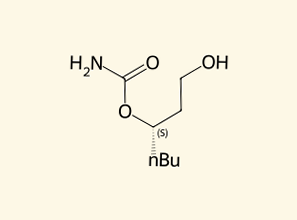 CCCC[C@@H](CCO)OC(N)=O